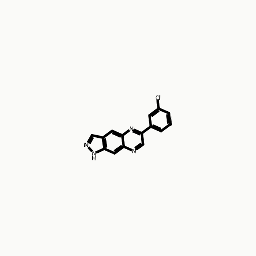 Clc1cccc(-c2cnc3cc4[nH]ncc4cc3n2)c1